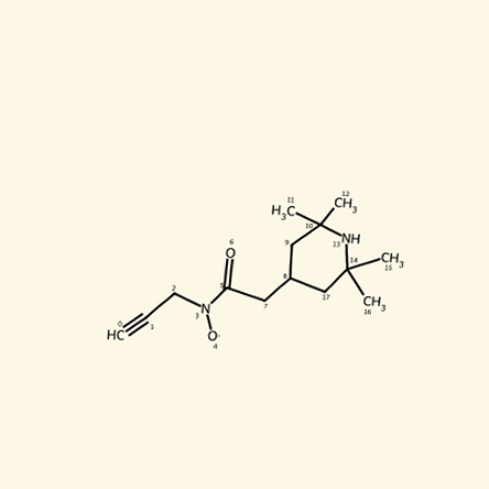 C#CCN([O])C(=O)CC1CC(C)(C)NC(C)(C)C1